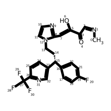 C/N=C\C(=O)/C(O)=C/c1nccn1CC[C@H](c1ccc(F)cc1)c1ccc(C(F)(F)F)nc1